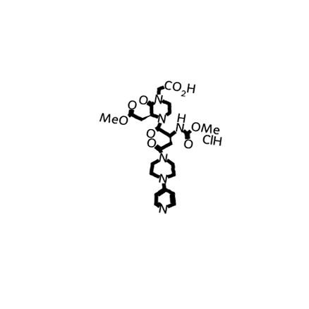 COC(=O)C[C@H]1C(=O)N(CC(=O)O)CCN1C(=O)[C@H](CC(=O)N1CCN(c2ccncc2)CC1)NC(=O)OC.Cl